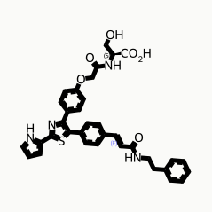 O=C(/C=C/c1ccc(-c2sc(-c3ccc[nH]3)nc2-c2ccc(OCC(=O)N[C@@H](CO)C(=O)O)cc2)cc1)NCCc1ccccc1